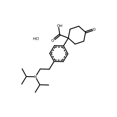 CC(C)N(CCc1ccc(C2(C(=O)O)CCC(=O)CC2)cc1)C(C)C.Cl